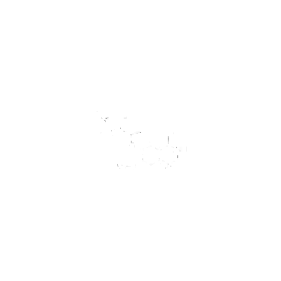 COc1cc2nc[nH]c(=O)c2cc1OC(=O)N1CCN(C)C[C@H]1C